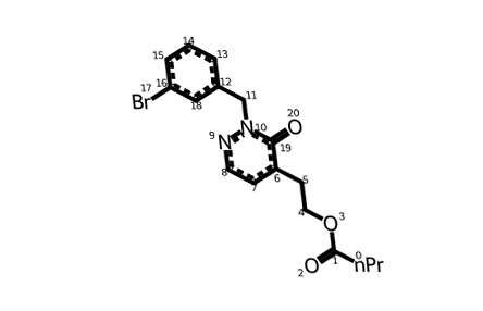 CCCC(=O)OCCc1ccnn(Cc2cccc(Br)c2)c1=O